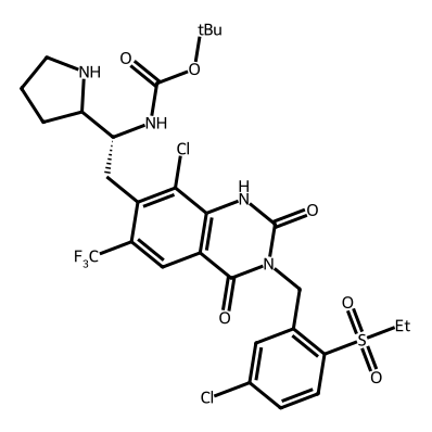 CCS(=O)(=O)c1ccc(Cl)cc1Cn1c(=O)[nH]c2c(Cl)c(C[C@@H](NC(=O)OC(C)(C)C)C3CCCN3)c(C(F)(F)F)cc2c1=O